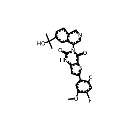 COc1cc(-c2cc3[nH]c(=O)n(-c4cncc5ccc(C(C)(C)O)cc45)c(=O)c3s2)c(Cl)cc1F